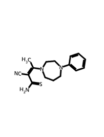 C/C(=C(\C#N)C(N)=S)N1CCCN(c2ccccc2)CC1